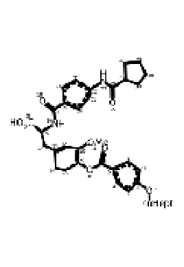 CCCCCCCOc1ccc(C(=O)OC2=C(OC)C=C(CC(NC(=O)c3ccc(NC(=O)C4CCCC4)cc3)C(=O)O)CC2)cc1